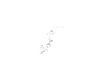 Cl.[2H]C1([2H])NC([2H])([2H])C([2H])([2H])N(C(=O)c2ccc(-c3cc(-c4n[nH]c5cc(OCCOC)c(F)cc45)on3)cc2)C1([2H])[2H]